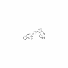 c1ccc2nc(N[C@H]3CC[C@@H](c4nnc5cnc6[nH]ccc6n45)C3)ncc2c1